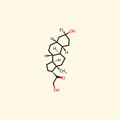 CC[C@@]1(O)CC[C@H]2[C@H](CC[C@@H]3[C@@H]2CC[C@]2(C)[C@@H](C(=O)CO)CC[C@@H]32)C1